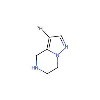 [2H]c1cnn2c1CNCC2